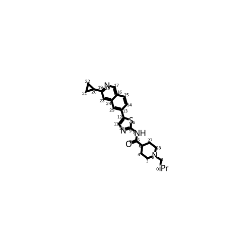 CC(C)CN1CCC(C(=O)Nc2ncc(-c3ccc4cnc(C5CC5)cc4c3)s2)CC1